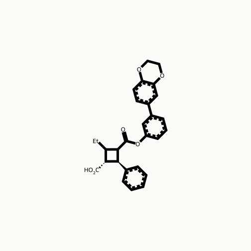 CCC1C(C(=O)Oc2cccc(-c3ccc4c(c3)OCCO4)c2)[C@@H](c2ccccc2)[C@@H]1C(=O)O